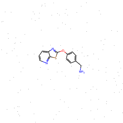 NCc1ccc(Oc2nc3cccnc3s2)cc1